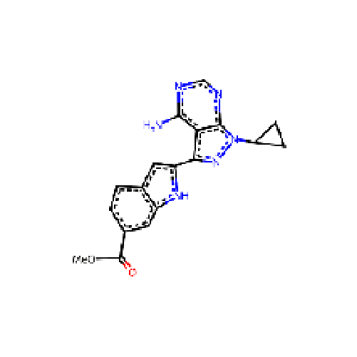 COC(=O)c1ccc2cc(-c3nn(C4CC4)c4ncnc(N)c34)[nH]c2c1